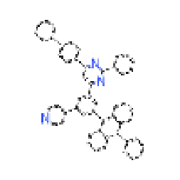 c1ccc(-c2ccc(-c3cc(-c4cc(-c5ccncc5)cc(-c5c6ccccc6c(-c6ccccc6)c6ccccc56)c4)nc(-c4ccccc4)n3)cc2)cc1